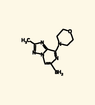 Bc1cn2nc(C)nc2c(N2CCOCC2)n1